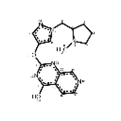 CN1CCCC1Cn1cc(Oc2nc(O)c3ccncc3n2)cn1